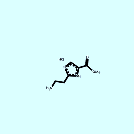 COC(=O)c1cnc(CCN)[nH]1.Cl